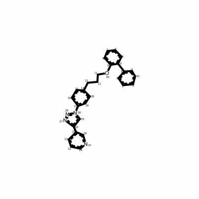 c1ccc(-c2ccccc2OCCCc2ccc(-n3cc(-c4cccnc4)nn3)cc2)cc1